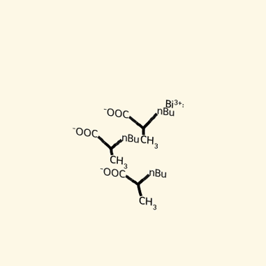 CCCCC(C)C(=O)[O-].CCCCC(C)C(=O)[O-].CCCCC(C)C(=O)[O-].[Bi+3]